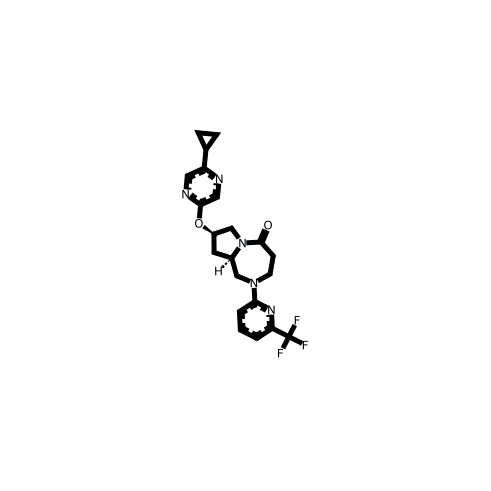 O=C1CCN(c2cccc(C(F)(F)F)n2)C[C@H]2C[C@@H](Oc3cnc(C4CC4)cn3)CN12